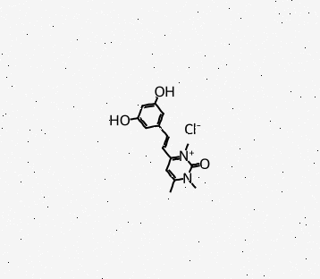 Cc1cc(C=Cc2cc(O)cc(O)c2)[n+](C)c(=O)n1C.[Cl-]